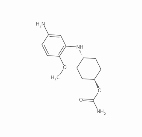 COc1ccc(N)cc1N[C@H]1CC[C@H](OC(N)=O)CC1